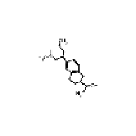 CCCC(CNC)c1ccc2c(c1)CCC(C(C)O)C2